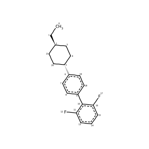 CC[C@H]1CC[C@H](c2ccc(-c3c(F)cccc3F)cc2)CC1